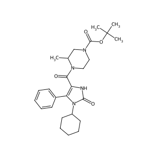 CC1CN(C(=O)OC(C)(C)C)CCN1C(=O)c1[nH]c(=O)n(C2CCCCC2)c1-c1ccccc1